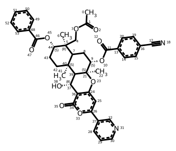 CC(=O)OC[C@@]1(C)C2C[C@H](OC(=O)c3ccc(C#N)cc3)[C@@]3(C)Oc4cc(-c5cccnc5)oc(=O)c4[C@H](O)C3[C@@]2(C)CC[C@@H]1OC(=O)c1ccccc1